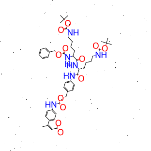 Cc1cc(=O)oc2cc(NC(=O)OCc3ccc(NC(=O)[C@H](CCCCNC(=O)OC(C)(C)C)NC(=O)C(CCCCNC(=O)OC(C)(C)C)NC(=O)OCc4ccccc4)cc3)ccc12